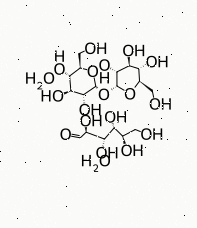 O.O.O=C[C@@H](O)[C@@H](O)[C@H](O)[C@H](O)CO.OC[C@H]1O[C@H](O[C@H]2O[C@H](CO)[C@@H](O)[C@H](O)[C@H]2O)[C@H](O)[C@@H](O)[C@@H]1O